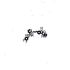 O=C1Nc2cc(/C=C/CNc3ncccc3C(=O)NCc3ccc(F)c(F)c3)ccc2/C1=C/c1ncc[nH]1